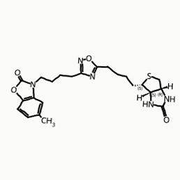 Cc1ccc2oc(=O)n(CCCCc3noc(CCCC[C@@H]4SC[C@@H]5NC(=O)N[C@@H]54)n3)c2c1